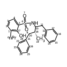 CCCc1cccc(S(=O)(=O)N[C](Cc2ccccc2)[C@H](C)Cc2ccccc2)c1O